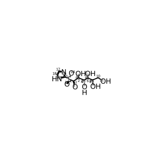 O=C([C@H](O)[C@@H](O)[C@H](O)[C@H](O)CO)S(=O)(=O)c1ncc[nH]1